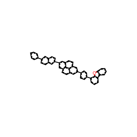 c1ccc(-c2ccc3cc(-c4cc5ccc6cc(-c7ccc(-c8cccc9c8oc8ccccc89)cc7)cc7ccc(c4)c5c67)ccc3c2)cc1